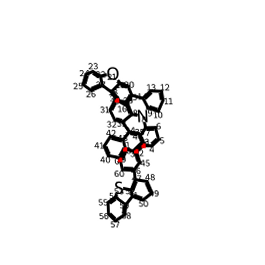 c1cc(-c2cccc(N(c3ccccc3-c3ccc4c(c3)oc3ccccc34)c3ccccc3-c3cccc4ccccc34)c2)cc(-c2cccc3c2sc2ccccc23)c1